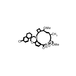 COC[C@@H]1C[C@H](C)/C=C/C(OC)C2CCC2CN2CC3(CCCc4cc(Cl)ccc43)COc3ccc(cc32)C(=O)NS1(=O)=O